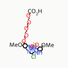 COc1ccc(Nc2nc(Nc3cc(OCCOCCOCCOCCOCC(=O)O)c(OC)cc3C)ncc2Cl)c(NS(C)(=O)=O)c1